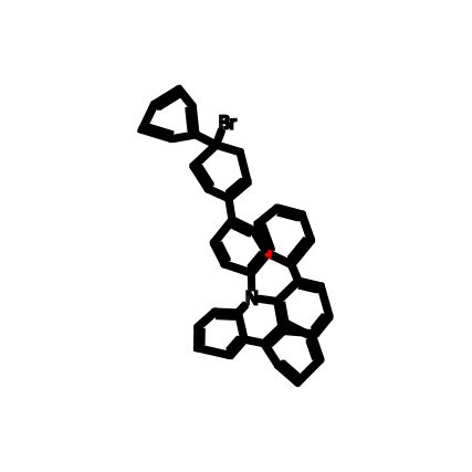 BrC1(c2ccccc2)C=CC(c2ccc(N(c3ccccc3-c3ccccc3)c3ccccc3-c3ccccc3)cc2)=CC1